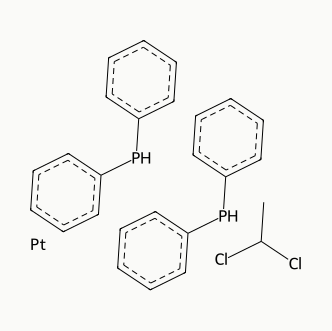 CC(Cl)Cl.[Pt].c1ccc(Pc2ccccc2)cc1.c1ccc(Pc2ccccc2)cc1